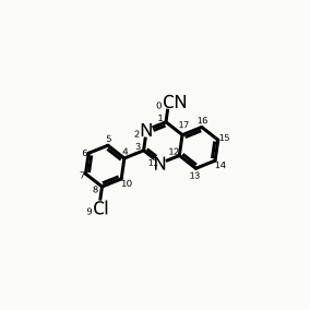 N#Cc1nc(-c2cccc(Cl)c2)nc2ccccc12